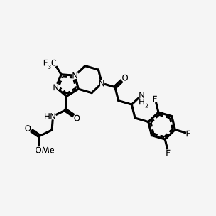 COC(=O)CNC(=O)c1nc(C(F)(F)F)n2c1CN(C(=O)CC(N)Cc1cc(F)c(F)cc1F)CC2